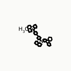 CC12C=CC=CC1C(N(c1ccccc1)c1ccc(-c3ccc(N(c4ccc5c(c4)-c4ccccc4C54CCCCC4)c4cccc5ccccc45)cc3)cc1)=CC=C2